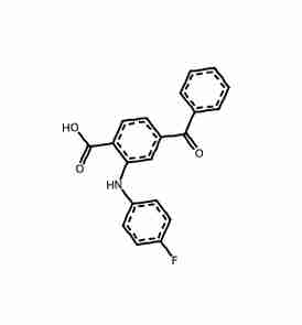 O=C(c1ccccc1)c1ccc(C(=O)O)c(Nc2ccc(F)cc2)c1